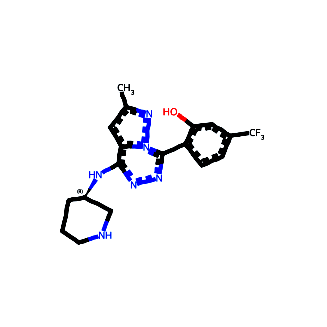 Cc1cc2c(N[C@@H]3CCCNC3)nnc(-c3ccc(C(F)(F)F)cc3O)n2n1